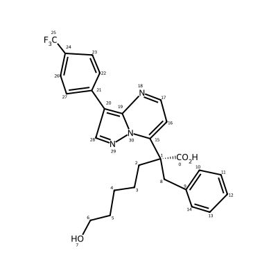 O=C(O)[C@@](CCCCCO)(Cc1ccccc1)c1ccnc2c(-c3ccc(C(F)(F)F)cc3)cnn12